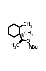 C=C(OCCCC)[C@@]1(C)CCCCC1C